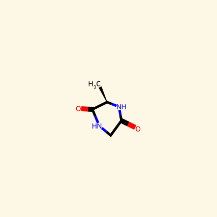 C[C@H]1NC(=O)CNC1=O